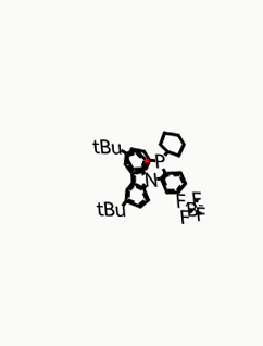 CC(C)(C)c1ccc2c(c1)c1cc(C(C)(C)C)ccc1n2-c1ccccc1P(C1CCCCC1)C1CCCCC1.F[B-](F)(F)F